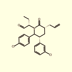 C=CC[C@@H]1C[C@H](c2cccc(Cl)c2)C(c2ccc(Cl)cc2)N([C@H](C=O)CC)C1=O